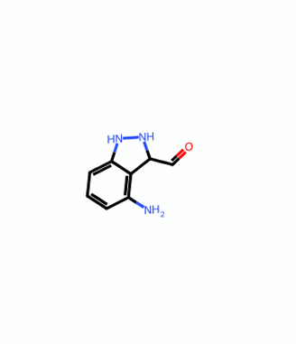 Nc1cccc2c1C(C=O)NN2